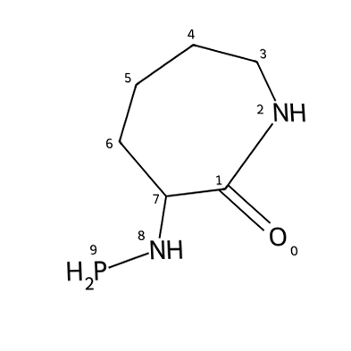 O=C1NCCCCC1NP